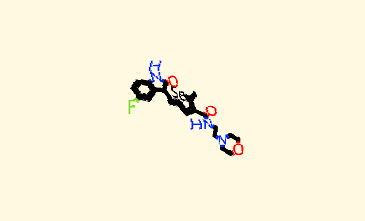 Cc1[se]c(C=C2C(=O)Nc3ccc(F)cc32)cc1C(=O)NCCN1CCOCC1